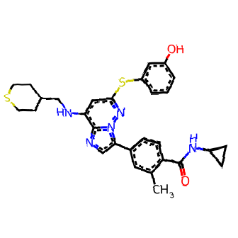 Cc1cc(-c2cnc3c(NCC4CCSCC4)cc(Sc4cccc(O)c4)nn23)ccc1C(=O)NC1CC1